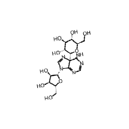 N=C1N=CN=C2N([C@@H]3O[C@H](CO)[C@@H](O)[C@H]3O)C=NC12[C@H]1O[C@H](CO)[C@@H](O)[C@H](O)[C@H]1O